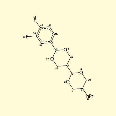 CCCC1COC(C2COC(c3ccc(F)c(F)c3)OC2)OC1